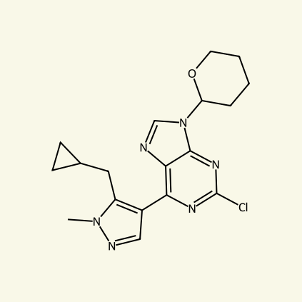 Cn1ncc(-c2nc(Cl)nc3c2ncn3C2CCCCO2)c1CC1CC1